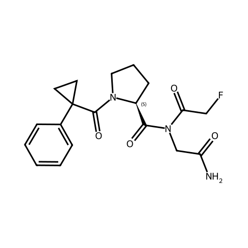 NC(=O)CN(C(=O)CF)C(=O)[C@@H]1CCCN1C(=O)C1(c2ccccc2)CC1